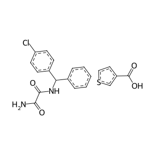 NC(=O)C(=O)NC(c1ccccc1)c1ccc(Cl)cc1.O=C(O)c1ccsc1